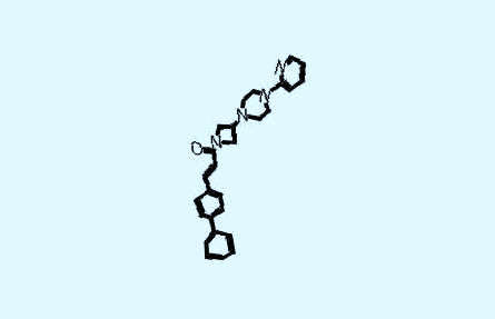 O=C(C=Cc1ccc(-c2ccccc2)cc1)N1CC(N2CCN(c3ccccn3)CC2)C1